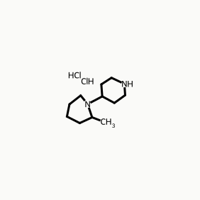 CC1CCCCN1C1CCNCC1.Cl.Cl